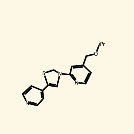 CC(C)OCc1ccnc(N2C=C(c3ccncc3)SC2)c1